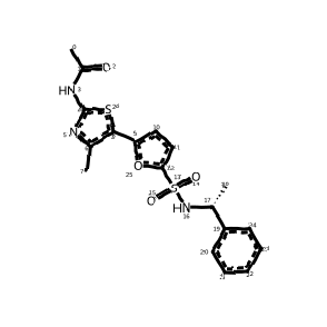 CC(=O)Nc1nc(C)c(-c2ccc(S(=O)(=O)N[C@H](C)c3ccccc3)o2)s1